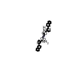 NC(OC(=O)/C=C/C(=O)OC(N)c1ccnc(C2=Cc3ccccc3CC2)c1)c1ccnc(C2=Cc3ccccc3CC2)c1